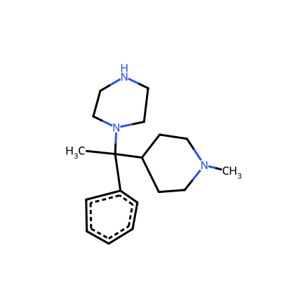 CN1CCC(C(C)(c2ccccc2)N2CCNCC2)CC1